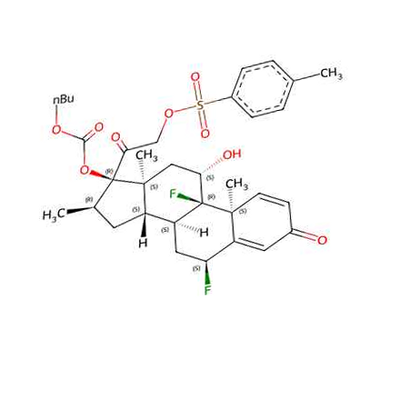 CCCCOC(=O)O[C@]1(C(=O)COS(=O)(=O)c2ccc(C)cc2)[C@H](C)C[C@H]2[C@@H]3C[C@H](F)C4=CC(=O)C=C[C@]4(C)[C@@]3(F)[C@@H](O)C[C@@]21C